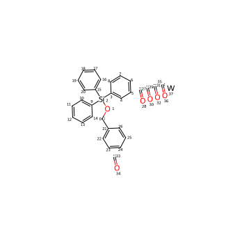 [C](O[Si](c1ccccc1)(c1ccccc1)c1ccccc1)c1ccccc1.[C]=O.[C]=O.[C]=O.[C]=O.[C]=O.[W]